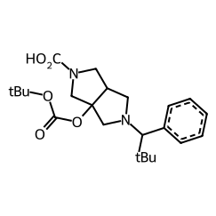 CC(C)(C)OC(=O)OC12CN(C(=O)O)CC1CN(C(c1ccccc1)C(C)(C)C)C2